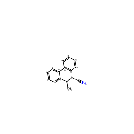 CC(CC#N)c1ccccc1-c1ccccc1